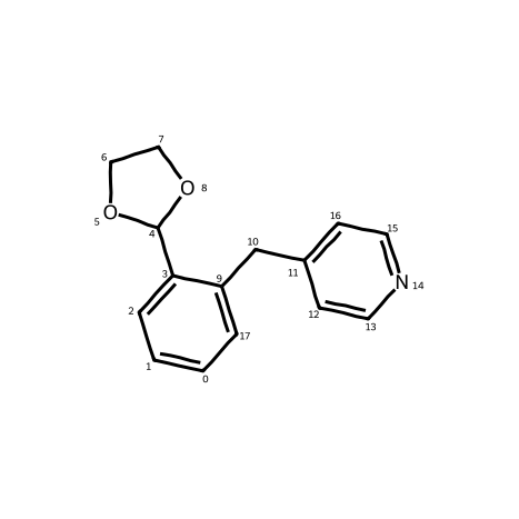 c1ccc(C2OCCO2)c(Cc2ccncc2)c1